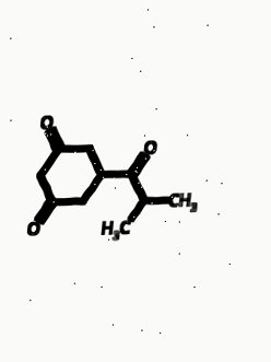 CC(C)C(=O)C1CC(=O)CC(=O)C1